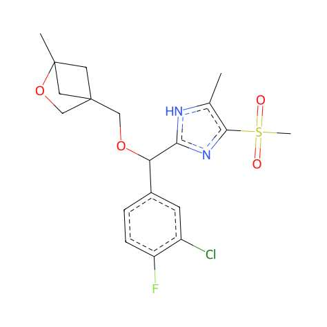 Cc1[nH]c(C(OCC23COC(C)(C2)C3)c2ccc(F)c(Cl)c2)nc1S(C)(=O)=O